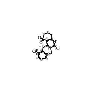 O=S1(=O)CCCc2nc(Cl)nc(Nc3c(Cl)cncc3Cl)c21